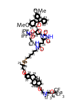 COc1ccc(C(OC[C@H]2O[C@@H](n3cc(CCC(=O)NCCCCCCSSC(C)(C)CCOc4ccc5c(c4)CCC4C5CC[C@]5(C)[C@@H](OCCN(C)CCOC(C(F)(F)F)(C(F)(F)F)C(F)(F)F)CC[C@@H]45)c(=O)[nH]c3=O)CC2OP(OCCC#N)N(C(C)C)C(C)C)(c2ccccc2)c2ccc(OC)cc2)cc1